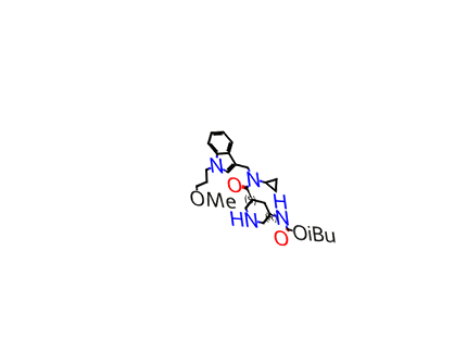 COCCCn1cc(CN(C(=O)[C@@H]2CNC[C@H](NC(=O)OCC(C)C)C2)C2CC2)c2ccccc21